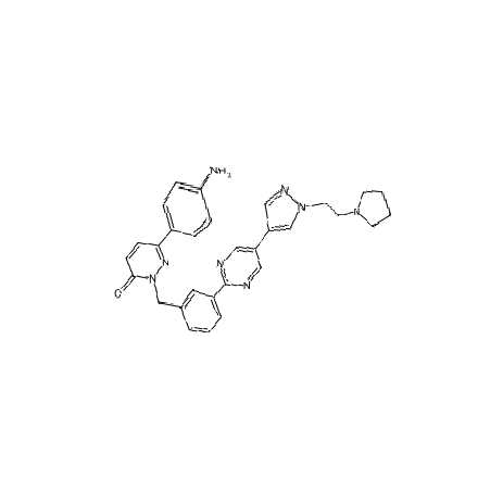 Nc1ccc(-c2ccc(=O)n(Cc3cccc(-c4ncc(-c5cnn(CCN6CCCC6)c5)cn4)c3)n2)cc1